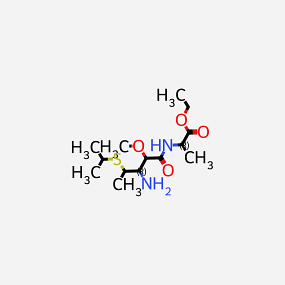 CCOC(=O)[C@@H](C)NC(=O)C(OC)[C@@H](N)C(C)SC(C)C